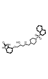 O=c1[nH]c2cccc(OC[C@H](O)CNCC3CCN(S(=O)(=O)c4cccc5ccccc45)CC3)c2[nH]1